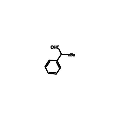 CCCCC(C=O)c1ccccc1